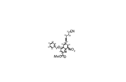 COC(=O)c1cc(OCc2ccccc2)c2cc(C#CCCCC#N)cc([N+](=O)[O-])c2n1